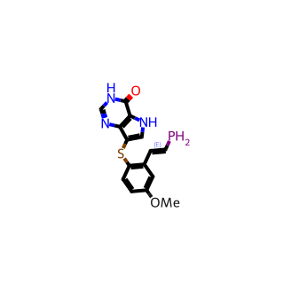 COc1ccc(Sc2c[nH]c3c(=O)[nH]cnc23)c(/C=C/P)c1